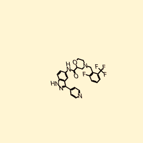 O=C(Nc1ccc2[nH]nc(-c3ccncc3)c2c1)C1CN(Cc2c(F)cccc2C(F)(F)F)CCO1